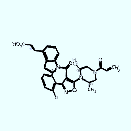 C=CC(=O)N1C[C@@H](C)N(c2onc(-c3c(Cl)cccc3Cl)c2C(=O)n2ccc3c(/C=C/C(=O)O)cccc32)[C@@H](C)C1